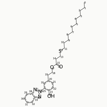 CCCCCCCCCCCCSCCC(=O)OCCc1ccc(O)c(-n2nc3ccccc3n2)c1